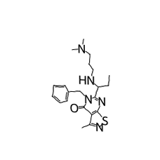 CCC(NCCCN(C)C)c1nc2snc(C)c2c(=O)n1Cc1ccccc1